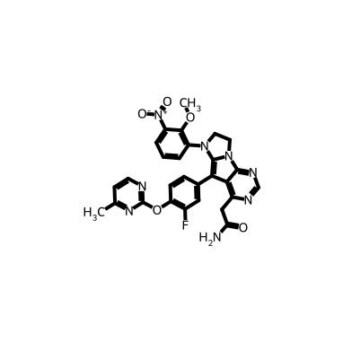 COc1c(N2CCn3c2c(-c2ccc(Oc4nccc(C)n4)c(F)c2)c2c(CC(N)=O)ncnc23)cccc1[N+](=O)[O-]